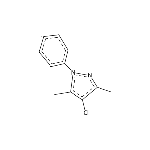 Cc1nn(-c2cc[c]cc2)c(C)c1Cl